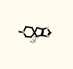 CN1CCC2(CC1)Cc1scnc1[C@@H]2N